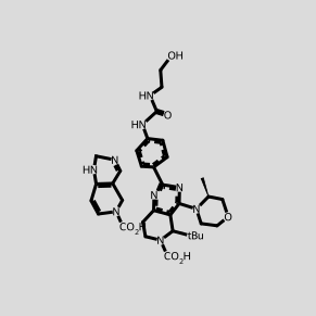 C[C@H]1COCCN1c1nc(-c2ccc(NC(=O)NCCO)cc2)nc2c1C(C(C)(C)C)N(C(=O)O)CC2.O=C(O)N1C=CC2=C(C=NCN2)C1